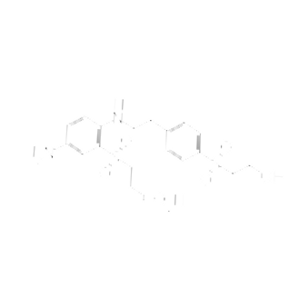 Nc1ccc(NCCc2ccc(S(=O)(=O)CCO)cc2)c(S(=O)(=O)CCC(=O)O)c1